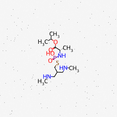 CNCC(CNC)CSP(=O)(O)N[C@@H](C)C(=O)OC(C)C